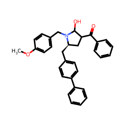 COc1ccc(CN2C(O)C(C(=O)c3ccccc3)C[C@H]2Cc2ccc(-c3ccccc3)cc2)cc1